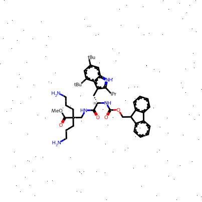 COC(=O)C(CCCN)(CCCN)CNC(=O)[C@H](Cc1c(C(C)C)[nH]c2cc(C(C)(C)C)cc(C(C)(C)C)c12)NC(=O)OCC1c2ccccc2-c2ccccc21